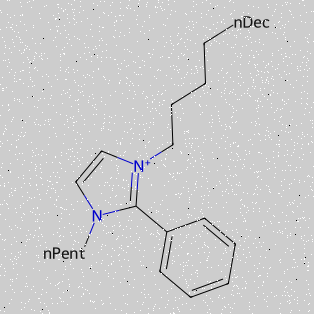 CCCCCCCCCCCCCC[n+]1ccn(CCCCC)c1-c1ccccc1